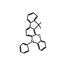 CC1(C)c2ccccc2-c2ccc3c(c21)Sc1ccccc1N3c1ccccc1